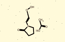 CC(=O)O.O=C1CCCN1C=COO